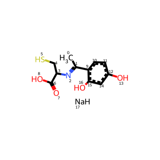 CC(=NC(CS)C(=O)O)c1ccc(O)cc1O.[NaH]